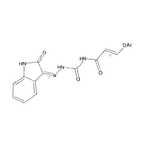 CC(=O)O/C=C/C(=O)NC(=O)N/N=C1\C(=O)Nc2ccccc21